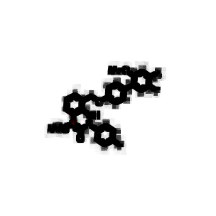 COC(=O)c1cccc(COc2ccc(-c3cc(F)c(F)cc3OC)cc2)c1NN(C(=O)OC(C)(C)C)c1ccc(F)cc1